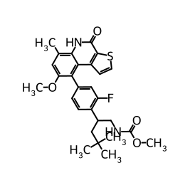 COC(=O)NCC(CC(C)(C)C)c1ccc(-c2c(OC)cc(C)c3[nH]c(=O)c4sccc4c23)cc1F